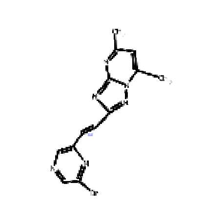 Cc1cc(C)n2nc(/C=C/c3cncc(Br)n3)nc2n1